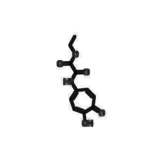 CCOC(=O)C(=O)Nc1ccc(O)c(=O)cc1